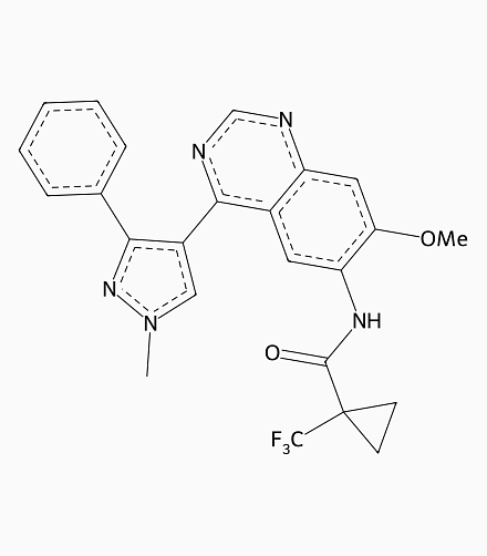 COc1cc2ncnc(-c3cn(C)nc3-c3ccccc3)c2cc1NC(=O)C1(C(F)(F)F)CC1